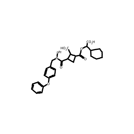 CCCN(Cc1ccc(Oc2ccccc2)cc1)C(=O)C1CC(C(=O)OC(C(=O)O)C2CCCCC2)C1C(=O)O